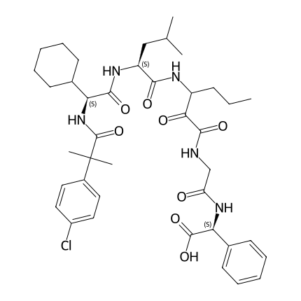 CCCC(NC(=O)[C@H](CC(C)C)NC(=O)[C@@H](NC(=O)C(C)(C)c1ccc(Cl)cc1)C1CCCCC1)C(=O)C(=O)NCC(=O)N[C@H](C(=O)O)c1ccccc1